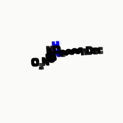 CCCCCCCCCCCCCCCCCCNc1ccc([N+](=O)[O-])cc1[N+](=O)[O-]